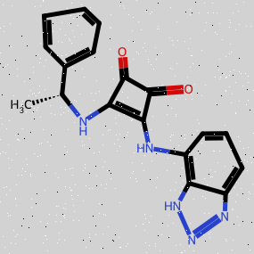 C[C@@H](Nc1c(Nc2cccc3nn[nH]c23)c(=O)c1=O)c1ccccc1